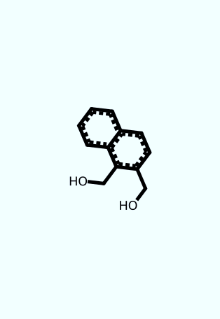 OCc1ccc2ccccc2c1CO